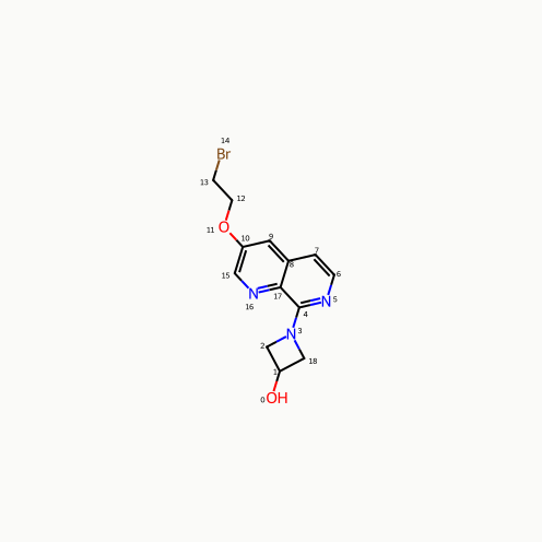 OC1CN(c2nccc3cc(OCCBr)cnc23)C1